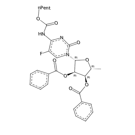 CCCCCOC(=O)Nc1nc(=O)n([C@@H]2O[C@H](C)[C@@H](OC(=O)c3ccccc3)[C@H]2OC(=O)c2ccccc2)cc1F